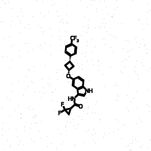 O=C(Nc1c[nH]c2ccc(O[C@H]3C[C@@H](c4ccc(C(F)(F)F)cc4)C3)cc12)C1CC1(F)F